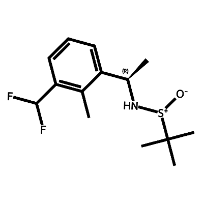 Cc1c(C(F)F)cccc1[C@@H](C)N[S+]([O-])C(C)(C)C